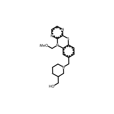 COCN1c2cc(CN3CC[CH][C](CO)C3)ccc2Sc2nccnc21